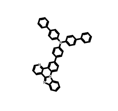 c1ccc(-c2ccc(N(c3ccc(-c4ccccc4)cc3)c3ccc(-c4ccc5c(c4)c4ncccc4c4nc6ccccc6n54)cc3)cc2)cc1